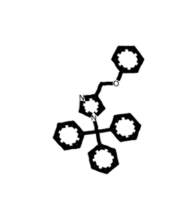 c1ccc(OCc2cn(C(c3ccccc3)(c3ccccc3)c3ccccc3)cn2)cc1